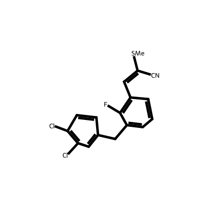 CS/C(C#N)=C/c1cccc(Cc2ccc(Cl)c(Cl)c2)c1F